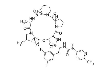 Cc1ccc(NC(=O)N[C@@H](Cc2cc(F)cc(F)c2)C(=O)N[C@@H]2C(=O)N3CCC[C@H]3C(=O)N3CCCC[C@H]3C(=O)N[C@@H](C)C(=O)N3C[C@@H](C)C[C@H]3C(=O)O[C@H]2C)cn1